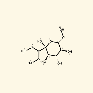 CSC(SC)[C@]1(O)O[C@H](CO)[C@@H](O)[C@H](O)[C@H]1O